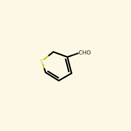 O=CC1=CC=CSC1